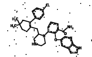 CC1(C)CCC(CC2CNCCN2c2cccc(C(N)=O)c2Oc2cnc3[nH]ccc3c2)=C(c2ccc(Cl)cc2)C1